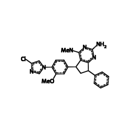 CNc1nc(N)nc2c1C(c1ccc(-n3cnc(Cl)c3)c(OC)c1)CC2c1ccccc1